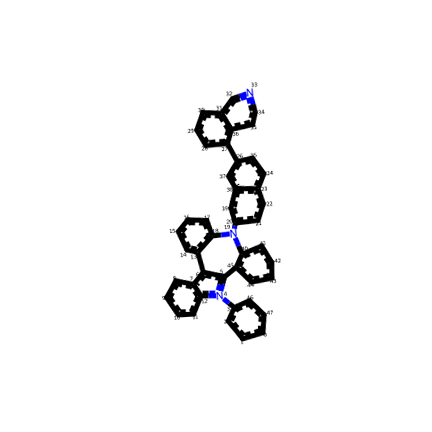 c1ccc(-n2c3c(c4ccccc42)-c2ccccc2N(c2ccc4ccc(-c5cccc6cnccc56)cc4c2)c2ccccc2-3)cc1